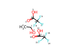 CCO.O=C(O)C(F)(F)F.O=C(O)C(F)(F)F